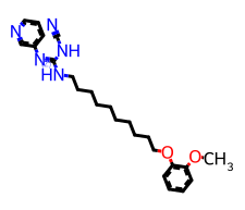 COc1ccccc1OCCCCCCCCCCN/C(=N/c1cccnc1)NC#N